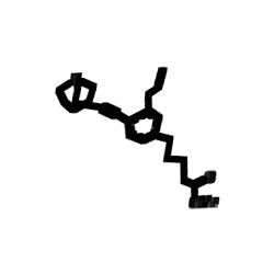 C=CCc1cc(CCCCC(=O)OC)ccc1C#CC1CN2CCC1CC2